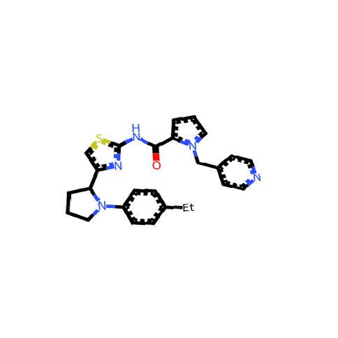 CCc1ccc(N2CCCC2c2csc(NC(=O)c3cccn3Cc3ccncc3)n2)cc1